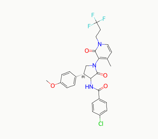 COc1ccc([C@@H]2CN(c3c(C)ccn(CCC(F)(F)F)c3=O)C(=O)C2NC(=O)c2ccc(Cl)cc2)cc1